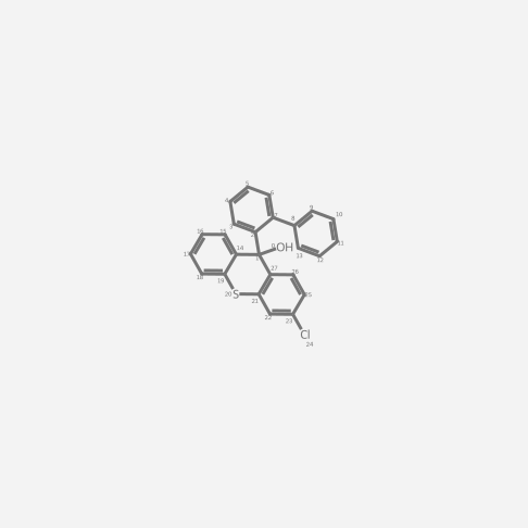 OC1(c2ccccc2-c2ccccc2)c2ccccc2Sc2cc(Cl)ccc21